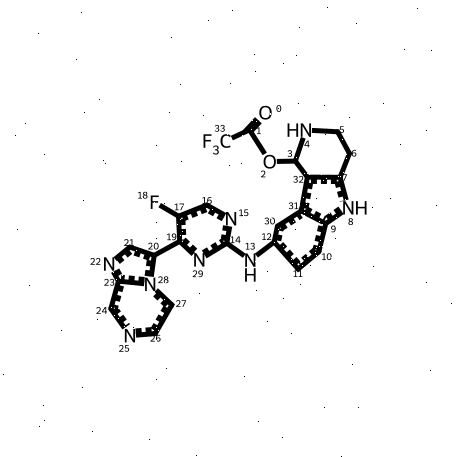 O=C(OC1NCCc2[nH]c3ccc(Nc4ncc(F)c(-c5cnc6cnccn56)n4)cc3c21)C(F)(F)F